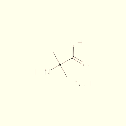 CC(C)(N)C(=O)O.[NaH]